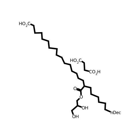 CCCCCCCCCCCCCCCCC(CCCCCCCCCCCCCCCC(=O)O)C(=O)OCC(O)CO.O=C(O)CCC(=O)O